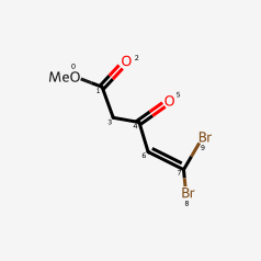 COC(=O)CC(=O)C=C(Br)Br